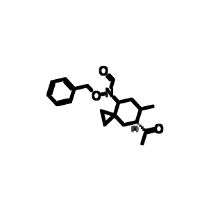 CC(=O)[C@@H]1CC2(CC2)C(N(C=O)OCc2ccccc2)CC1C